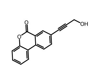 O=c1oc2ccccc2c2ccc(C#CCO)cc12